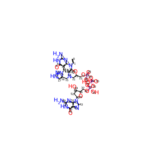 C=CN(c1nc(N)[nH]c(=O)c1NC)C1CN(Cc2c[nH]nn2)CC(COP(=O)(O)OP(=O)(O)OP(=O)(O)OCC2OC(n3cnc4c(=O)[nH]c(N)nc43)C[C@@H]2O)O1